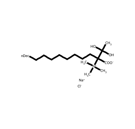 CCCCCCCCCCCCCCCCCCC(C(=O)[O-])(C(C)(O)O)[N+](C)(C)C.[Cl-].[Na+]